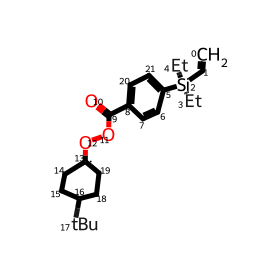 C=C[Si](CC)(CC)c1ccc(C(=O)OO[C]2CCC(C(C)(C)C)CC2)cc1